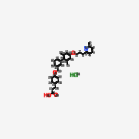 Cc1cccc(CCCOc2cc(C)c(-c3cccc(COc4ccc(CCC(=O)O)cc4)c3)c(C)c2)n1.Cl